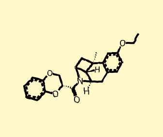 CCOc1ccc2c(c1)[C@]1(C)CC3[C@H]1[C@@H](C2)N3C(=O)[C@H]1COc2ccccc2O1